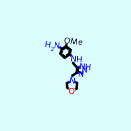 COc1cc(NCc2[nH]nnc2CN2CCOCC2)ccc1N